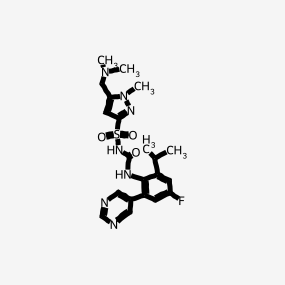 CC(C)c1cc(F)cc(-c2cncnc2)c1NC(=O)NS(=O)(=O)c1cc(CN(C)C)n(C)n1